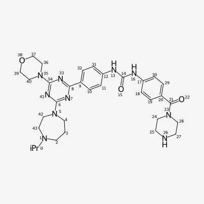 CC(C)N1CCCN(c2nc(-c3ccc(NC(=O)Nc4ccc(C(=O)N5CCNCC5)cc4)cc3)nc(N3CCOCC3)n2)CC1